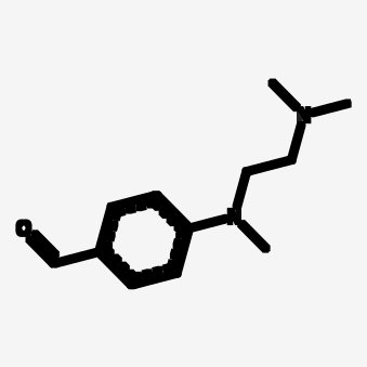 CN(C)CCN(C)c1ccc(C=O)cc1